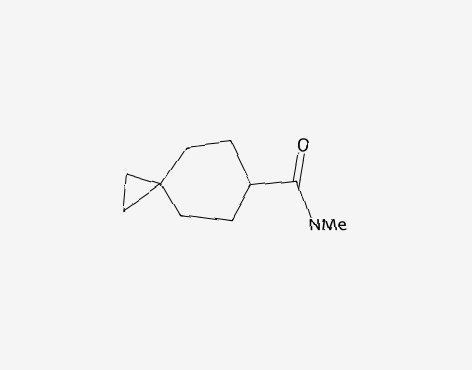 CNC(=O)C1CCC2(CC1)CC2